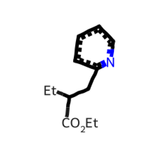 CCOC(=O)C(CC)Cc1ccccn1